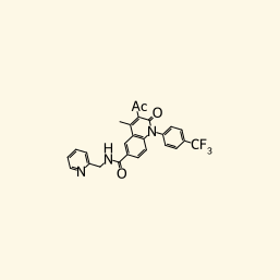 CC(=O)c1c(C)c2cc(C(=O)NCc3ccccn3)ccc2n(-c2ccc(C(F)(F)F)cc2)c1=O